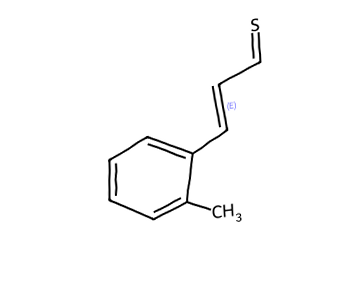 Cc1ccccc1/C=C/C=S